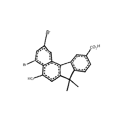 CC1(C)c2ccc(C(=O)O)cc2-c2c1cc(O)c1c(Br)cc(Br)cc21